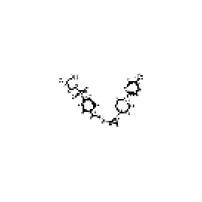 CCc1cnc(N2CCC([C@H]3C[C@H]3COCc3ccc(S(=O)(=O)CC[C@H](C)O)cc3)CC2)nc1